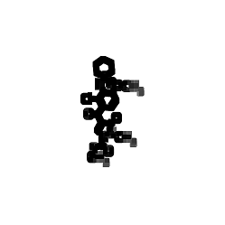 COc1ccc(C(=O)c2cn(C(=O)SC)n(C)c2=O)c(Cl)c1N=S1(=O)CCCCC1